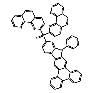 O=P(c1ccc2c3cc4c5ccccc5c5ccccc5c4cc3n(-c3ccccc3)c2c1)(c1ccc2ccc3cccnc3c2n1)c1ccc2ccc3cccnc3c2n1